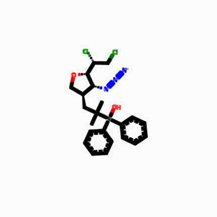 CC(C)(C[C@H]1CO[C@H]([C@H](Cl)CCl)[C@@H]1N=[N+]=[N-])[Si](O)(c1ccccc1)c1ccccc1